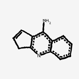 Nc1c2c(nc3ccccc13)CC=C2